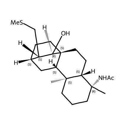 CSC[C@H]1[C@H]2CC[C@@]3(CC[C@H]4[C@@](C)(CCC[C@@]4(C)NC(C)=O)[C@@H]3C2)[C@@H]1O